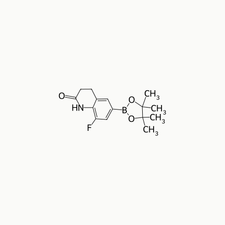 CC1(C)OB(c2cc(F)c3c(c2)CCC(=O)N3)OC1(C)C